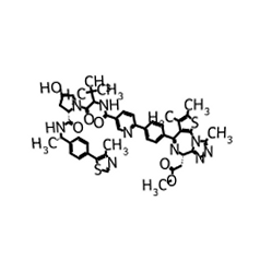 COC(=O)C[C@@H]1N=C(c2ccc(-c3ccc(C(=O)NC(C(=O)N4C[C@H](O)C[C@H]4C(=O)N[C@@H](C)c4ccc(-c5scnc5C)cc4)C(C)(C)C)cn3)cc2)c2c(sc(C)c2C)-n2c(C)nnc21